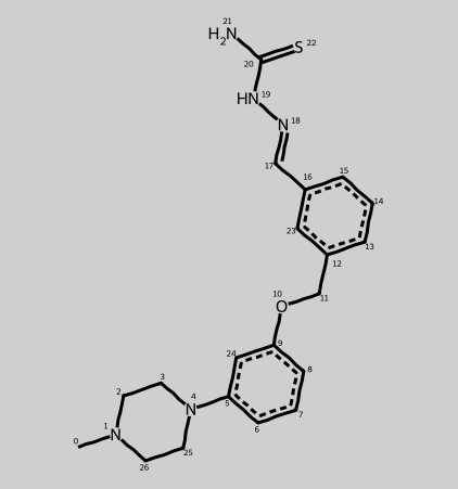 CN1CCN(c2cccc(OCc3cccc(C=NNC(N)=S)c3)c2)CC1